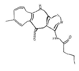 CCCC(=O)Nc1nsc2[nH]c3ccc(C)cc3c(=O)c12